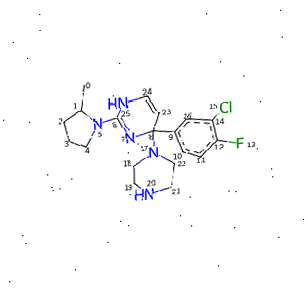 CC1CCCN1C1=NC(c2ccc(F)c(Cl)c2)(N2CCNCC2)C=CN1